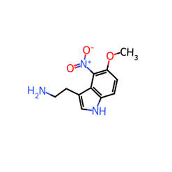 COc1ccc2[nH]cc(CCN)c2c1[N+](=O)[O-]